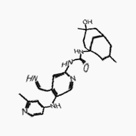 Cc1cc(Nc2cnc(NC(=O)NC34CC(C)CC(CC(C)(O)C3)C4)cc2C=N)ccn1